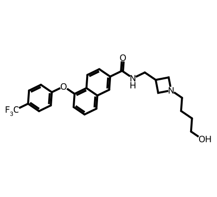 O=C(NCC1CN(CCCCO)C1)c1ccc2c(Oc3ccc(C(F)(F)F)cc3)cccc2c1